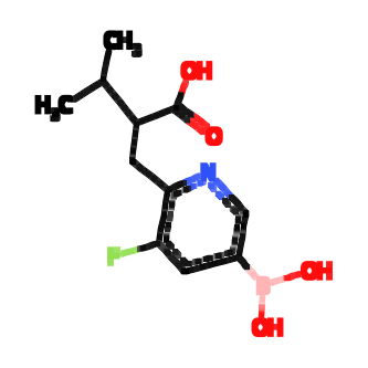 CC(C)C(Cc1ncc(B(O)O)cc1F)C(=O)O